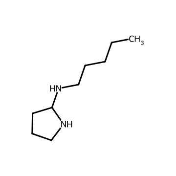 CCCCCNC1CCCN1